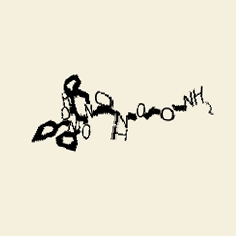 NCCOCCOCCNC(=O)CN1Cc2ccccc2[C@@H]2OC(c3ccccc3)=N[C@]2(Cc2ccccc2)C1=O